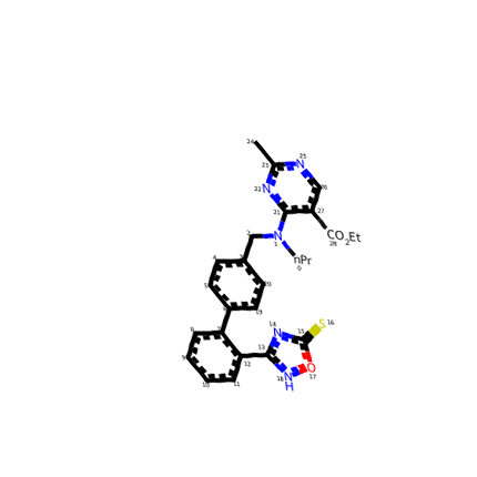 CCCN(Cc1ccc(-c2ccccc2-c2nc(=S)o[nH]2)cc1)c1nc(C)ncc1C(=O)OCC